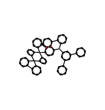 c1ccc(-c2cc(-c3ccccc3)cc(N(c3ccc4c(c3)-c3ccccc3C43c4ccccc4C4(c5ccccc5-c5ccccc54)c4ccccc43)c3ccccc3-c3ccccc3)c2)cc1